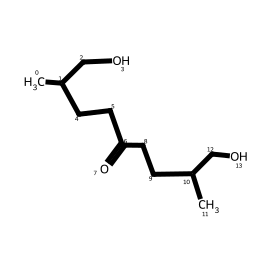 CC(CO)CCC(=O)CCC(C)CO